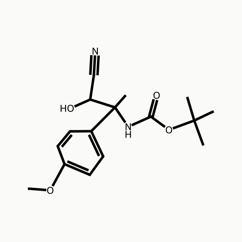 COc1ccc(C(C)(NC(=O)OC(C)(C)C)C(O)C#N)cc1